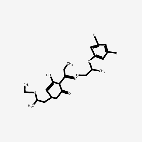 CCSC(C)CC1C=C(O)C(/C(CC)=N/OCC(C)Oc2cc(F)cc(F)c2)C(=O)C1